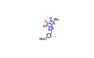 CCn1c(=O)c2[nH]c(C(C)(C)C)nc2n2nc(Cc3ccc(OC)cc3)nc12